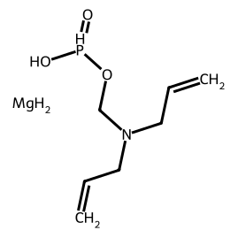 C=CCN(CC=C)CO[PH](=O)O.[MgH2]